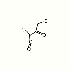 O=C=C(Cl)C(=O)CCl